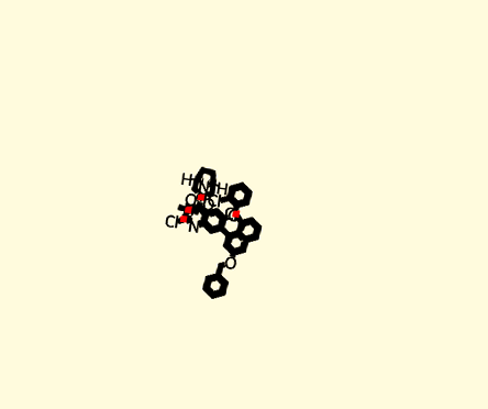 CC(C)(C)OC(=O)N1[C@@H]2CC[C@H]1CN(c1nc(Cl)nc3cc(-c4cc(OCc5ccccc5)cc5cccc(Cl)c45)c(Oc4ccccc4Cl)cc13)C2